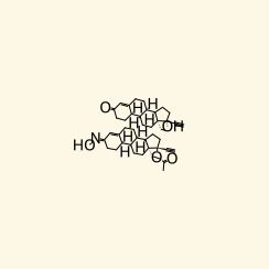 C#C[C@]1(O)CC[C@H]2[C@@H]3CCC4=CC(=O)CC[C@@H]4[C@H]3CC[C@@]21CC.C#C[C@]1(OC(C)=O)CC[C@H]2[C@@H]3CCC4=C/C(=N/O)CC[C@@H]4[C@H]3CC[C@@]21CC